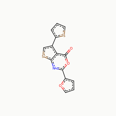 O=c1oc(-c2ccco2)nc2scc(-c3cccs3)c12